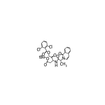 CC(C(=O)NC(CC(=O)OC(C)(C)C)C(=O)COC(=O)c1c(Cl)cccc1Cl)n1ccc2ccccc2c1=O